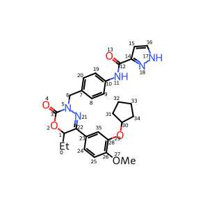 CCC1OC(=O)N(Cc2ccc(NC(=O)c3cc[nH]n3)cc2)N=C1c1ccc(OC)c(OC2CCCC2)c1